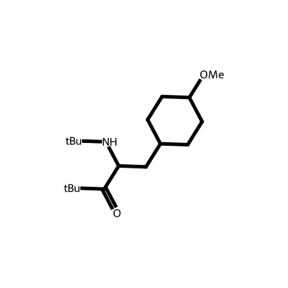 COC1CCC(CC(NC(C)(C)C)C(=O)C(C)(C)C)CC1